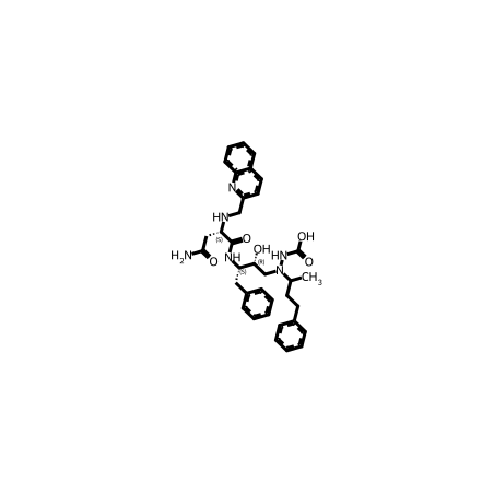 CC(CCc1ccccc1)N(C[C@@H](O)[C@H](Cc1ccccc1)NC(=O)[C@H](CC(N)=O)NCc1ccc2ccccc2n1)NC(=O)O